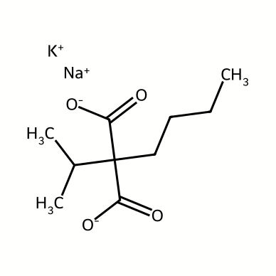 CCCCC(C(=O)[O-])(C(=O)[O-])C(C)C.[K+].[Na+]